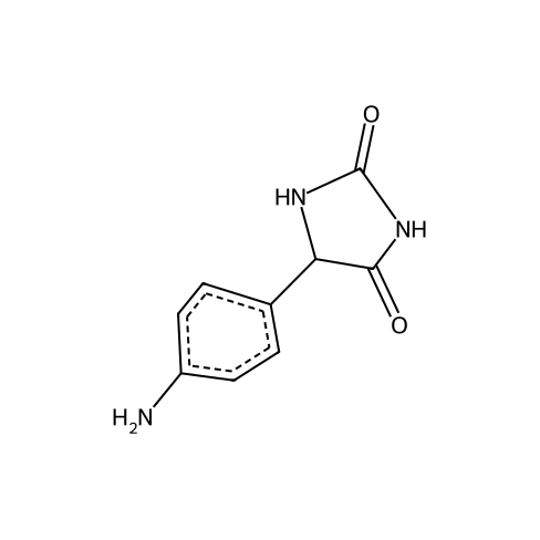 Nc1ccc(C2NC(=O)NC2=O)cc1